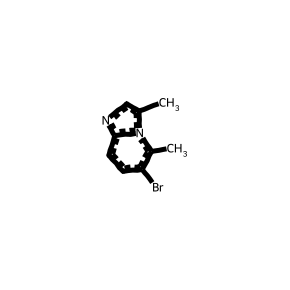 Cc1cnc2ccc(Br)c(C)n12